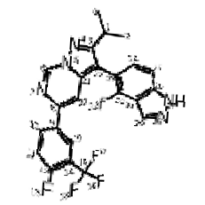 CC(C)c1nn2cnc(-c3ccc(F)c(C(F)(F)F)c3)cc2c1-c1ccc2[nH]ncc2c1F